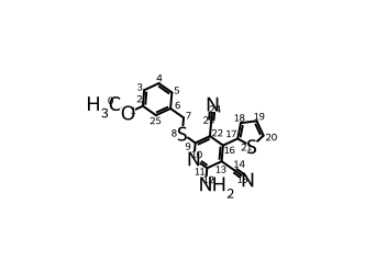 COc1cccc(CSc2nc(N)c(C#N)c(-c3cccs3)c2C#N)c1